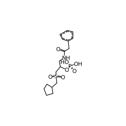 O=C(Cc1ccccc1)NCC(CS(=O)(=O)CC1CCCC1)OP(=O)(O)O